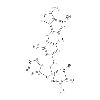 Cc1cc(OCP(=O)(N[C@@H](C)C(=O)OC(C)C)Oc2ccccc2)cc(C)c1Cc1ccc(O)c2c1CCC2C